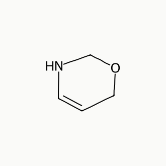 C1=CNCOC1